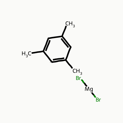 Cc1[c]c(C)cc(C)c1.[Br][Mg][Br]